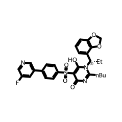 CCCCc1nc(=O)c(S(=O)(=O)c2ccc(-c3cncc(F)c3)cc2)c(O)n1[C@@H](CC)c1cccc2c1OCO2